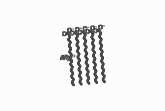 CCCCCCCCCCCCCCCCCC(=O)[O-].CCCCCCCCCCCCCCCCCC(=O)[O-].CCCCCCCCCCCCCCCCCC(=O)[O-].CCCCCCCCCCCCCCCCCC(=O)[O-].CCCCCCCCCCCCCCCCCC(=O)[O-].[Al+3].[Mg+2]